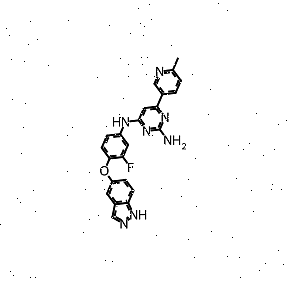 Cc1ccc(-c2cc(Nc3ccc(Oc4ccc5[nH]ncc5c4)c(F)c3)nc(N)n2)cn1